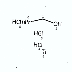 CCCCO.Cl.Cl.Cl.[Ti]